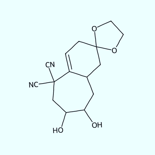 N#CC1(C#N)CC(O)C(O)CC2CC3(CC=C21)OCCO3